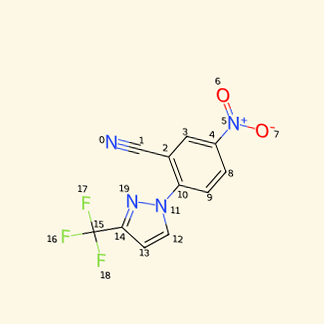 N#Cc1cc([N+](=O)[O-])ccc1-n1ccc(C(F)(F)F)n1